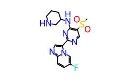 CS(=O)(=O)c1cnc(-c2cnc3ccc(F)cn23)nc1NC1CCCNC1